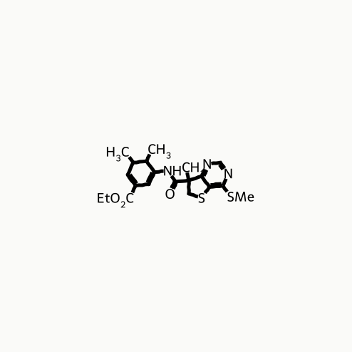 CCOC(=O)C1=CC(C)C(C)C(NC(=O)C2(C)CSc3c(SC)ncnc32)=C1